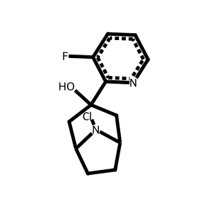 OC1(c2ncccc2F)CC2CCC(C1)N2Cl